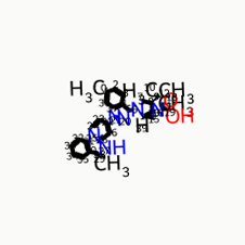 Cc1ccc2c(N3C[C@@]4(C(C)(C)C)C[C@H]3CN4C(=O)O)nn(-c3ccnc(N[C@H](C)c4ccccc4)c3)c2c1